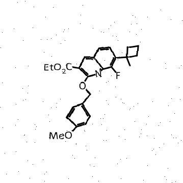 CCOC(=O)c1cc2ccc(C3(C)CCC3)c(F)c2nc1OCc1ccc(OC)cc1